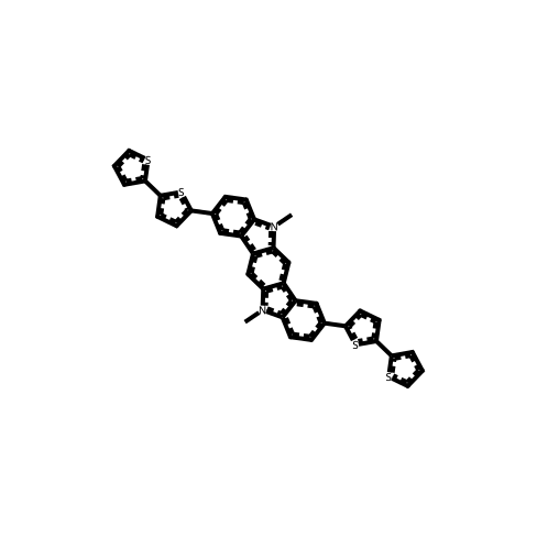 Cn1c2ccc(-c3ccc(-c4cccs4)s3)cc2c2cc3c(cc21)c1cc(-c2ccc(-c4cccs4)s2)ccc1n3C